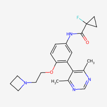 Cc1ncnc(C)c1-c1cc(NC(=O)C2(F)CC2)ccc1OCCN1CCC1